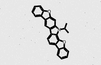 CC(C)n1c2cc3oc4ccccc4c3cc2c2ccc3c4ccccc4oc3c21